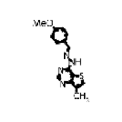 COc1ccc(C=NNc2ncnc3c(C)csc23)cc1